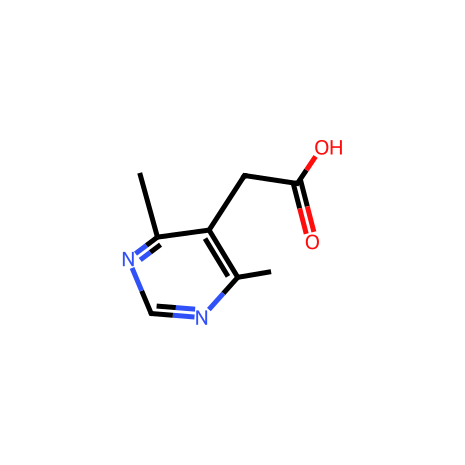 Cc1ncnc(C)c1CC(=O)O